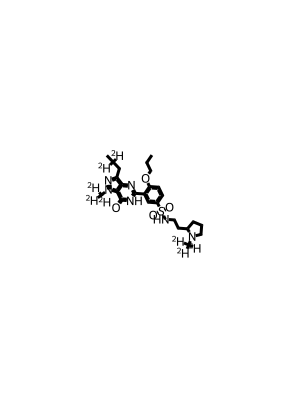 [2H]C([2H])(C)Cc1nn(C([2H])([2H])[2H])c2c(=O)[nH]c(-c3cc(S(=O)(=O)NCCC4CCCN4C([2H])([2H])[2H])ccc3OCCC)nc12